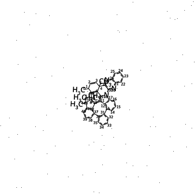 CC1C=CC2(C)C3=C1C1(C)C4=C5c6c(cccc6N(c6nc7ccccc7nc62)C53C)-c2ccccc2-c2cccc(c24)C1(C)C